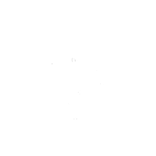 O=C1OC(C(Br)C(=O)c2ccccc2)c2c(Cl)cccc21